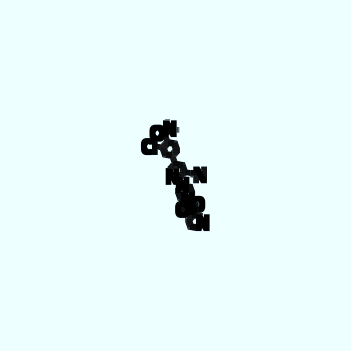 CN(C)C(=O)c1ccc(-c2cnc(N3CCN(S(=O)(=O)c4cccnc4)CC3)c(C#N)c2)cc1Cl